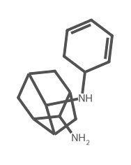 NC1C2CC3CC1C(C2)C3NC1C=CC=CC1